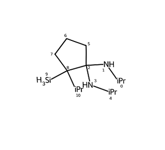 CC(C)NC1(NC(C)C)CCCC1([SiH3])C(C)C